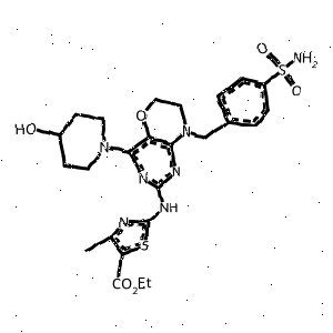 CCOC(=O)c1sc(Nc2nc(N3CCC(O)CC3)c3c(n2)N(Cc2ccc(S(N)(=O)=O)cc2)CCO3)nc1C